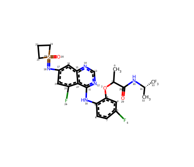 CC(Oc1cc(F)ccc1Nc1ncnc2cc(N=S3(=O)CCC3)cc(F)c12)C(=O)N[C@@H](C)C(F)(F)F